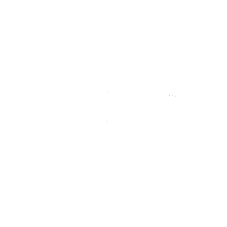 COc1cc(CCNCc2cc(C)cc(Cl)c2)c(OC)cc1CO